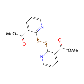 COC(=O)c1cccnc1SSc1ncccc1C(=O)OC